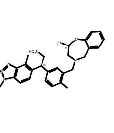 CC[C@@H]1CN(Cc2cc([C@H](CC(=O)O)c3ccc4c(nnn4C)c3C)ccc2C)Cc2ccccc2O1